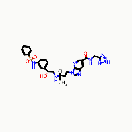 CC(C)(CCn1cnc2cc(C(=O)NCc3nn[nH]n3)cnc21)NC[C@H](O)c1cccc(NS(=O)(=O)c2ccccc2)c1